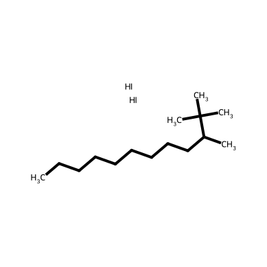 CCCCCCCCCC(C)C(C)(C)C.I.I